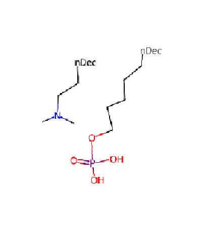 CCCCCCCCCCCCCCCOP(=O)(O)O.CCCCCCCCCCCCN(C)C